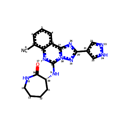 N#Cc1cccc2c1nc(N[C@@H]1CCCCNC1=O)n1nc(-c3cn[nH]c3)nc21